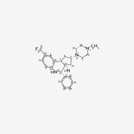 CN1CCN([C@H]2CC3c4cc(C(F)(F)F)ccc4N[C@@H](c4ccccc4)[C@@H]3C2)CC1